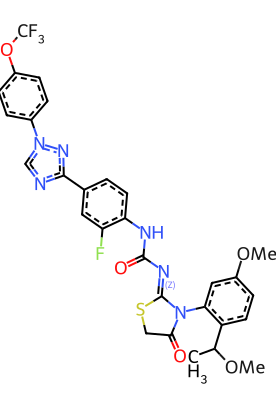 COc1ccc(C(C)OC)c(N2C(=O)CS/C2=N\C(=O)Nc2ccc(-c3ncn(-c4ccc(OC(F)(F)F)cc4)n3)cc2F)c1